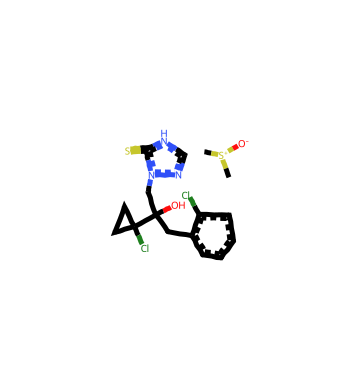 C[S+](C)[O-].OC(Cc1ccccc1Cl)(Cn1nc[nH]c1=S)C1(Cl)CC1